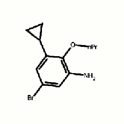 CCCOc1c(N)cc(Br)cc1C1CC1